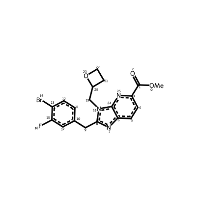 COC(=O)c1ccc2nc(Cc3ccc(Br)c(F)c3)n(CC3CCO3)c2n1